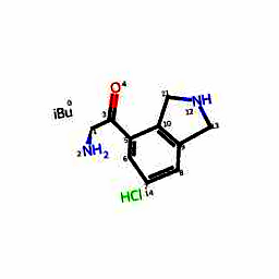 CC[C@H](C)[C@H](N)C(=O)c1cccc2c1CNC2.Cl